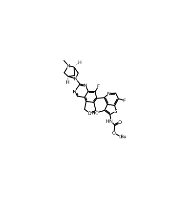 CN1C[C@H]2C[C@@H]1CN2c1ncc2c3c(c(-c4ncc(F)c5sc(NC(=O)OC(C)(C)C)c(C#N)c45)c(F)c2n1)COC3